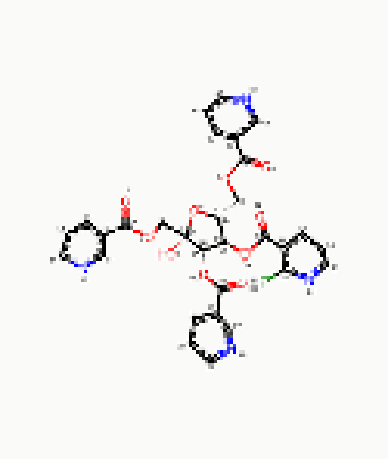 O=C(OC[C@H]1O[C@](O)(COC(=O)c2cccnc2)[C@@H](OC(=O)c2cccnc2)[C@@H]1OC(=O)c1cccnc1F)c1cccnc1